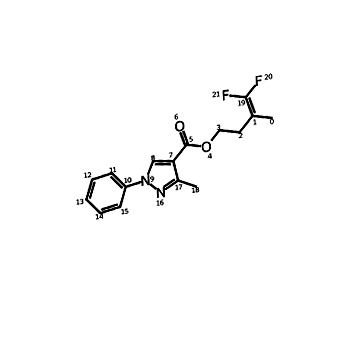 CC(CCOC(=O)c1cn(-c2ccccc2)nc1C)=C(F)F